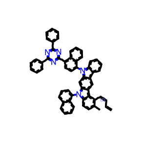 C=C/C=C\c1c(C)ccc2c1c1cc3c4ccccc4n(-c4ccc(-c5nc(-c6ccccc6)nc(-c6ccccc6)n5)c5ccccc45)c3cc1n2-c1cccc2ccccc12